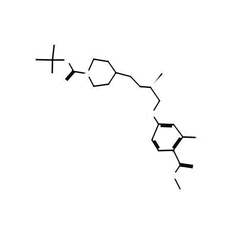 COC(=O)c1ccc(OC[C@H](C)CCC2CCN(C(=O)OC(C)(C)C)CC2)cc1Cl